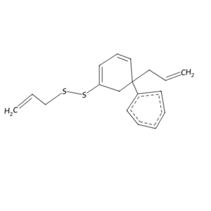 C=CCSSC1=CC=CC(CC=C)(c2ccccc2)C1